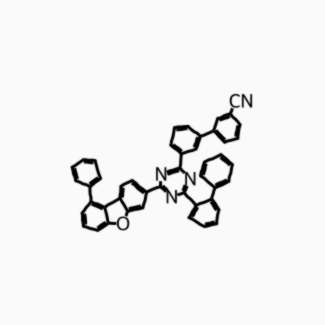 N#Cc1cccc(-c2cccc(-c3nc(-c4ccc5c(c4)oc4cccc(-c6ccccc6)c45)nc(-c4ccccc4-c4ccccc4)n3)c2)c1